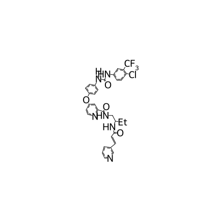 CCC(CNC(=O)c1cc(Oc2ccc(NC(=O)Nc3ccc(Cl)c(C(F)(F)F)c3)cc2)ccn1)NC(=O)C=Cc1cccnc1